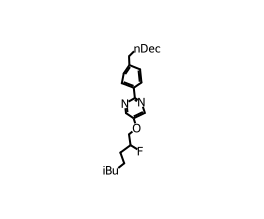 CCCCCCCCCCCc1ccc(-c2ncc(OCC(F)CCC(C)CC)cn2)cc1